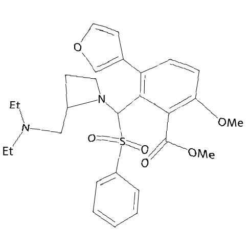 CCN(CC)CC1CCN1C(c1c(-c2ccoc2)ccc(OC)c1C(=O)OC)S(=O)(=O)c1ccccc1